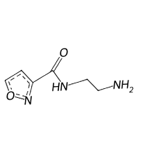 NCCNC(=O)c1ccon1